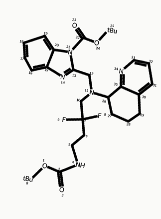 CC(C)(C)OC(=O)NCCC(F)(F)CN(Cc1nc2ccccc2n1C(=O)OC(C)(C)C)C1CCCc2cccnc21